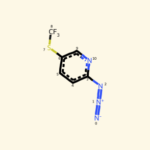 [N-]=[N+]=Nc1ccc(SC(F)(F)F)cn1